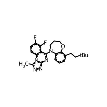 Cc1nnc2nc(N3CCCOc4c(CCC(C)(C)C)cccc43)c3c(F)c(F)ccc3n12